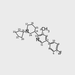 Cc1cc(-c2ccc(F)cc2)cnc1C1CCCN(C2CCCC2)C1